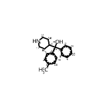 Cc1ccc(C(O)(c2ccccc2)C2CCNCC2)cc1